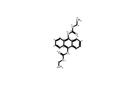 CCOC(=O)Oc1c2ccccc2c(OC(=O)OCC)c2ccccc12